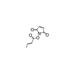 CC=CC(=O)ON1C(=O)C=CC1=O